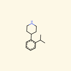 CC(C)c1ccccc1C1CCNCC1